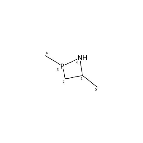 CC1CP(C)N1